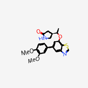 COc1ccc(-c2cc(OC(C)[C@H]3CNC(=O)C3)c3scnc3c2)cc1OC